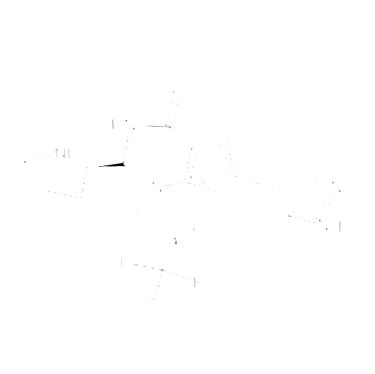 Cc1[nH]ncc1-c1cc2c(s1)C(=O)NC([C@H]1CCCN1)N2OC(=O)C(F)(F)F